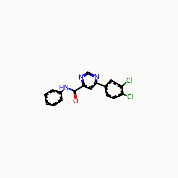 O=C(Nc1ccccc1)c1cc(-c2ccc(Cl)c(Cl)c2)ncn1